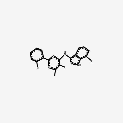 Cc1nc(-c2ccccc2Cl)nc(Nc2n[nH]c3c(F)cccc23)c1C